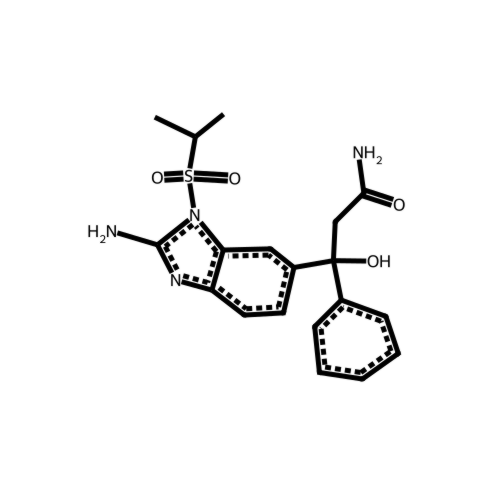 CC(C)S(=O)(=O)n1c(N)nc2ccc(C(O)(CC(N)=O)c3ccccc3)cc21